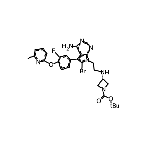 Cc1cccc(Oc2ccc(-c3c(Br)n(CCNC4CN(C(=O)OC(C)(C)C)C4)c4ncnc(N)c34)cc2F)n1